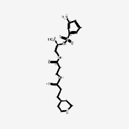 O=C(CCC1CCNCC1)NCCC(=O)NC[C@H](NS(=O)(=O)c1cccc([N+](=O)[O-])c1)C(=O)O